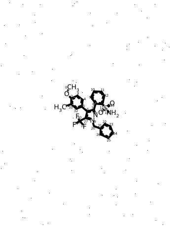 COc1ccc(-c2c(-c3ccccc3S(N)(=O)=O)nn(Cc3ccccc3)c2C(F)(F)F)cc1C